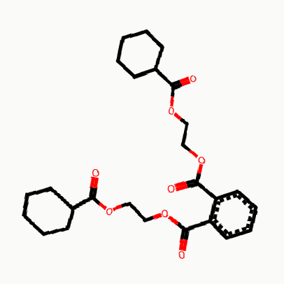 O=C(OCCOC(=O)C1CCCCC1)c1ccccc1C(=O)OCCOC(=O)C1CCCCC1